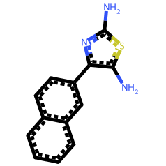 Nc1nc(-c2ccc3ccccc3c2)c(N)s1